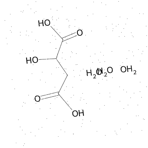 O.O.O.O=C(O)CC(O)C(=O)O